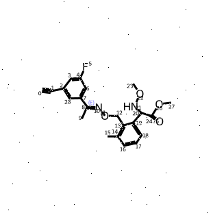 C#Cc1cc(F)cc(/C(C)=N/OCc2c(C)cccc2C(NOC)C(=O)OC)c1